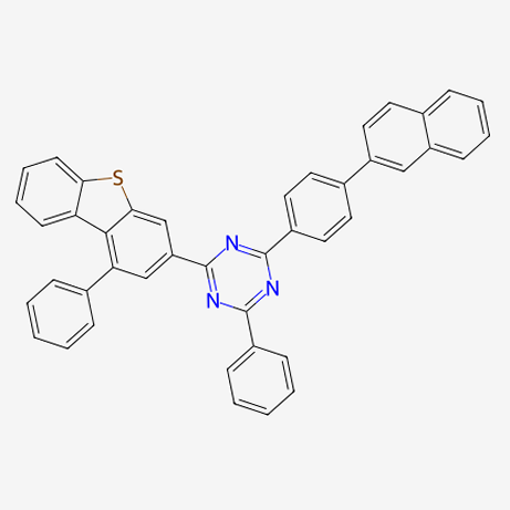 c1ccc(-c2nc(-c3ccc(-c4ccc5ccccc5c4)cc3)nc(-c3cc(-c4ccccc4)c4c(c3)sc3ccccc34)n2)cc1